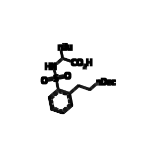 CCCCCCCCCCCCc1ccccc1S(=O)(=O)NC(CCCC)C(=O)O